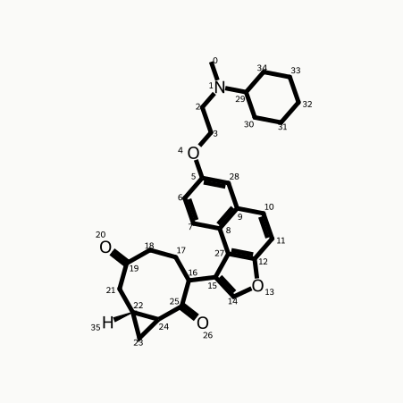 CN(CCOc1ccc2c(ccc3occ(C4CCC(=O)C[C@H]5CC5C4=O)c32)c1)C1CCCCC1